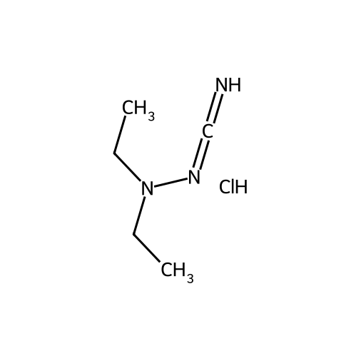 CCN(CC)N=C=N.Cl